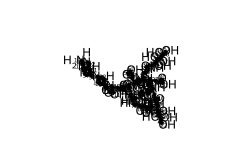 CC[C@H](NC(=O)[C@H](CCC(=O)NC[C@H](O)[C@@H](O)[C@H](O)[C@H](O)CO)NC(=O)[C@H](CCC(=O)O)NC(=O)[C@H](CCC(=O)NC[C@H](O)[C@@H](O)[C@H](O)[C@H](O)CO)NC(=O)[C@H](CCC(=O)O)NC(=O)[C@H](CCC(=O)NC[C@H](O)[C@@H](O)[C@H](O)[C@H](O)CO)NC(=O)CC[C@H](NC(=O)c1ccc(NCc2cnc3c(n2)CNC(N)=N3)cc1)C(=O)O)C(=O)O